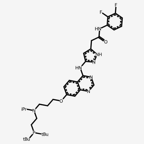 CC(C)N(CCCOc1ccc2c(Nc3cc(CC(=O)Nc4cccc(F)c4F)[nH]n3)ncnc2c1)CCP(C(C)(C)C)C(C)(C)C